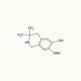 COc1cc2c(cc1O)CC(C)(C)NC2